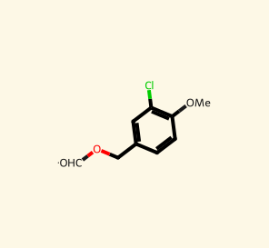 COc1ccc(CO[C]=O)cc1Cl